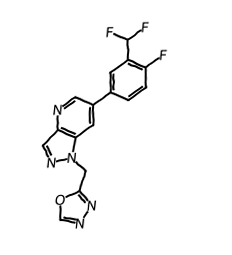 Fc1ccc(-c2cnc3cnn(Cc4nnco4)c3c2)cc1C(F)F